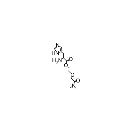 CN(C)C(=O)COCCOC(=O)C(N)Cc1cnc[nH]1